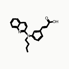 CCCCN(c1cccc(/C=C/C(=O)O)c1)c1ccc2ccccc2n1